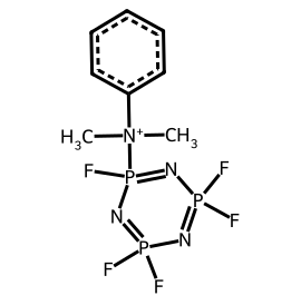 C[N+](C)(c1ccccc1)P1(F)=NP(F)(F)=NP(F)(F)=N1